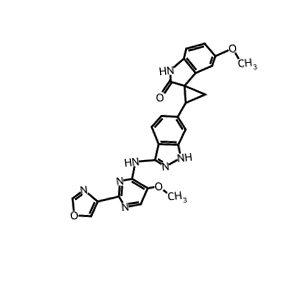 COc1ccc2c(c1)C1(CC1c1ccc3c(Nc4nc(-c5cocn5)ncc4OC)n[nH]c3c1)C(=O)N2